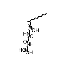 CCCCCCCCCC(C)CON(CO)CCNC(=O)CCC(=O)NCCN(O)O